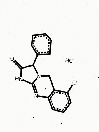 Cl.O=C1NC2=Nc3cccc(Cl)c3CN2C1c1ccccc1